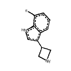 Fc1cccc2c(C3CNC3)c[nH]c12